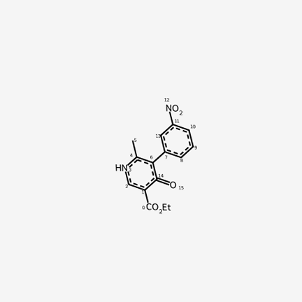 CCOC(=O)c1c[nH]c(C)c(-c2cccc([N+](=O)[O-])c2)c1=O